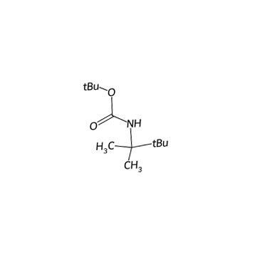 CC(C)(C)OC(=O)NC(C)(C)C(C)(C)C